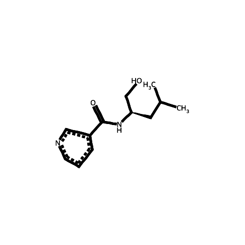 CC(C)C[C@H](CO)NC(=O)c1cccnc1